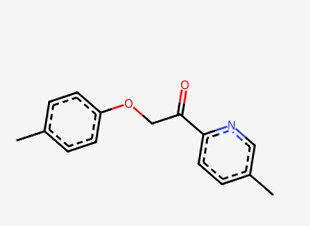 Cc1ccc(OCC(=O)c2ccc(C)cn2)cc1